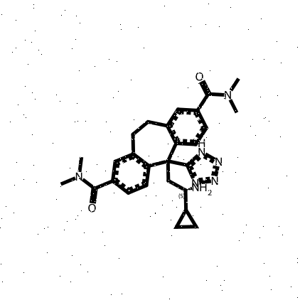 CN(C)C(=O)c1ccc2c(c1)CCc1cc(C(=O)N(C)C)ccc1C2(C[C@H](N)C1CC1)c1nnn[nH]1